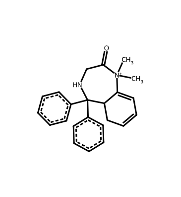 C[N+]1(C)C(=O)CNC(c2ccccc2)(c2ccccc2)C2CC=CC=C21